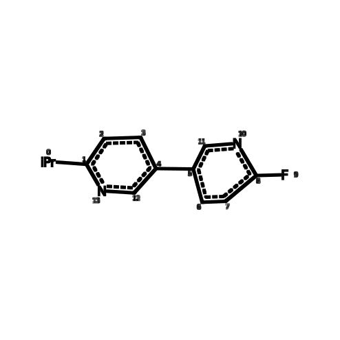 CC(C)c1ccc(-c2ccc(F)nc2)cn1